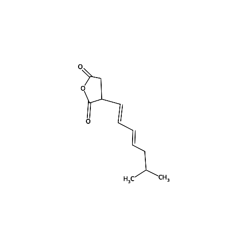 CC(C)CC=CC=CC1CC(=O)OC1=O